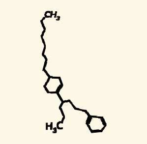 CCCCCCCCC1CC=C(C(CCC)CCCc2ccccc2)CC1